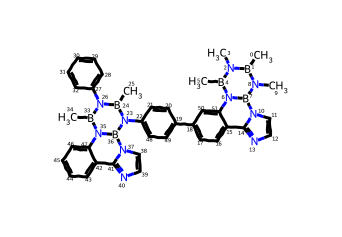 CB1N(C)B(C)N2B(N1C)n1ccnc1-c1ccc(-c3ccc(N4B(C)N(c5ccccc5)B(C)N5B4n4ccnc4-c4ccccc45)cc3)cc12